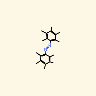 Cc1c(C)c(C)c(/N=N/c2c(C)c(C)c(C)c(C)c2C)c(C)c1C